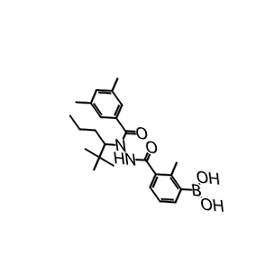 CCCC(N(NC(=O)c1cccc(B(O)O)c1C)C(=O)c1cc(C)cc(C)c1)C(C)(C)C